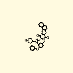 O=C1N[C@@H](Cc2ccc3ccccc3c2)C(=O)N(Cc2ccc(Oc3ccccc3)cc2)[C@H]1CNCC1CCNCC1